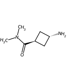 CN(C)C(=O)[C@H]1C[C@H](N)C1